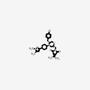 Cc1cc(C2CCC(N3C[C@H](CN4C(=O)C5C(C4=O)C5(C)C)OC[C@@H]3Cc3ccc(Cl)cc3)CC2)nn1C